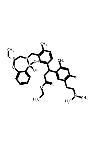 CCOC(=O)CC(c1ccc(C)c(CN2C[C@@H](CC)Oc3ccccc3S2(O)O)c1)c1cc(CCN(C)C)c(F)cc1C